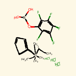 C[CH2][Ti]([CH3])([CH3])([CH3])([CH3])[C]1=CC=CC1.Cl.Cl.Cl.OB(O)Oc1c(F)c(F)c(F)c(F)c1F